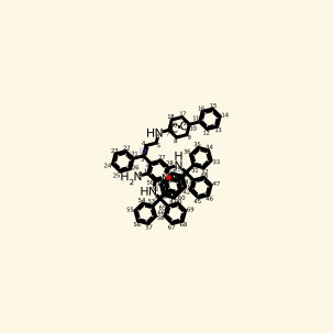 Nc1c(/C(=C\CNC23CCC(c4ccccc4)(CC2)CC3)c2ccccc2)cc(NC(c2ccccc2)(c2ccccc2)c2ccccc2)nc1NC(c1ccccc1)(c1ccccc1)c1ccccc1